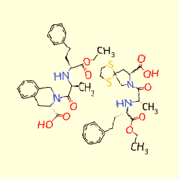 CCOC(=O)[C@H](CCc1ccccc1)N[C@@H](C)C(=O)N1CC2(C[C@H]1C(=O)O)SCCS2.CCOC(=O)[C@H](CCc1ccccc1)N[C@@H](C)C(=O)N1Cc2ccccc2C[C@H]1C(=O)O